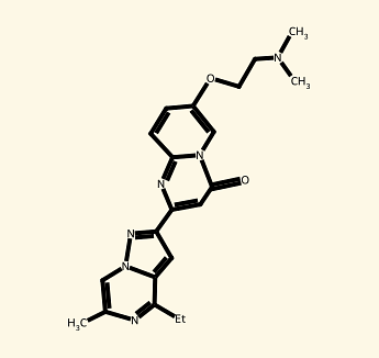 CCc1nc(C)cn2nc(-c3cc(=O)n4cc(OCCN(C)C)ccc4n3)cc12